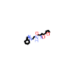 O=C(NCCn1ncc2ccccc21)c1cc(-c2ccco2)on1